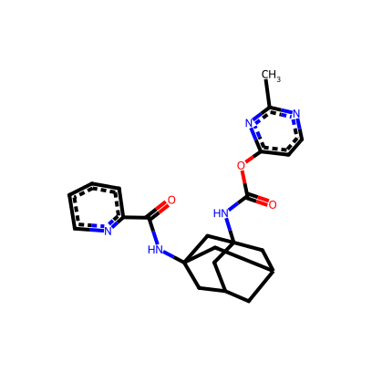 Cc1nccc(OC(=O)NC23CC4CC(C2)CC(NC(=O)c2ccccn2)(C4)C3)n1